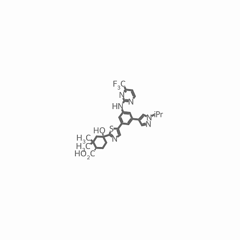 CC(C)n1cc(-c2cc(Nc3nccc(C(F)(F)F)n3)cc(-c3cnc([C@]4(O)CC[C@@H](C(=O)O)C(C)(C)C4)s3)c2)cn1